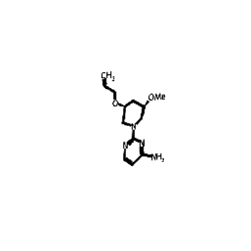 C=CCO[C@H]1C[C@@H](OC)CN(c2nccc(N)n2)C1